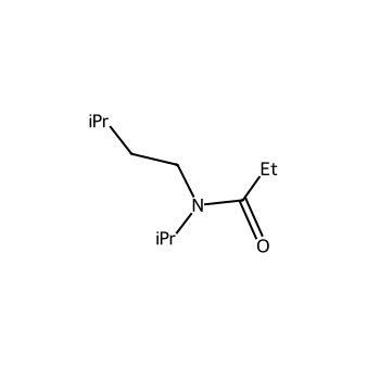 CCC(=O)N(CCC(C)C)C(C)C